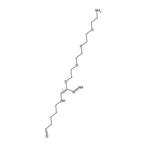 N=N/C(=C\NCCCCC=O)OCCOCCOCCOCCN